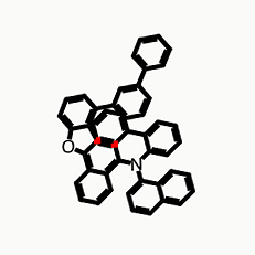 c1ccc(-c2cccc(-c3cccc4oc5c6ccccc6c(N(c6ccccc6-c6ccccc6)c6cccc7ccccc67)cc5c34)c2)cc1